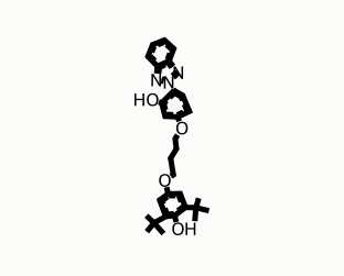 CC(C)(C)c1cc(OCCCCOc2ccc(-n3nc4ccccc4n3)c(O)c2)cc(C(C)(C)C)c1O